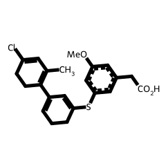 COc1cc(CC(=O)O)cc(SC2=CC(C3=C(C)C=C(Cl)CC3)=CCC2)c1